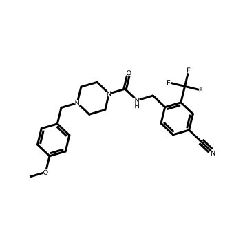 COc1ccc(CN2CCN(C(=O)NCc3ccc(C#N)cc3C(F)(F)F)CC2)cc1